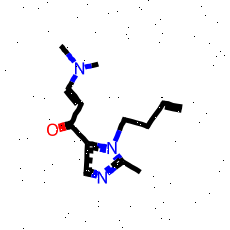 C=CCCn1c(C(=O)/C=C/N(C)C)cnc1C